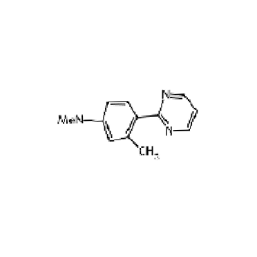 CNc1ccc(-c2ncccn2)c(C)c1